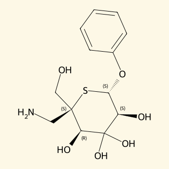 NC[C@@]1(CO)S[C@H](Oc2ccccc2)[C@@H](O)C(O)(O)[C@H]1O